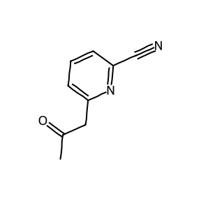 CC(=O)Cc1cccc(C#N)n1